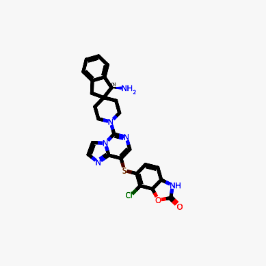 N[C@@H]1c2ccccc2CC12CCN(c1ncc(SC3=C(Cl)C4OC(=O)NC4C=C3)c3nccn13)CC2